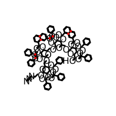 [N-]=[N+]=NCCO[C@@H]1OC(COC2OC(CO[C@@H]3OC(CO[C@@H]4OC(CO)[C@@H](OC(=O)c5ccccc5)[C@H](OC(=O)c5ccccc5)[C@H]4OC(=O)c4ccccc4)[C@@H](OC(=O)c4ccccc4)[C@H](OC(=O)c4ccccc4)[C@H]3OC(=O)c3ccccc3)[C@@H](OC(=O)c3ccccc3)[C@H](OC(=O)c3ccccc3)[C@H]2OC(=O)c2ccccc2)[C@@H](OC(=O)c2ccccc2)[C@H](OC(=O)c2ccccc2)[C@H]1OC(=O)c1ccccc1